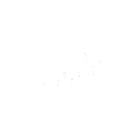 CN1CC[C@@H](NC(=O)c2ccc3nccnc3c2)C1